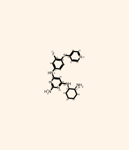 Nc1nc(Nc2ccc(Sc3ccncc3)c(F)c2)cc(N[C@@H]2CCCC[C@@H]2N)n1